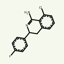 NC1=NC(c2ccc(F)cc2)Cc2cccc(Cl)c21